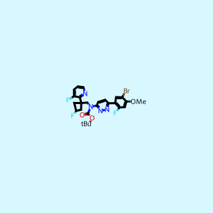 COc1cc(F)c(-c2ccc(N(CC3(c4ncccc4F)CC(F)C3)C(=O)OC(C)(C)C)nn2)cc1Br